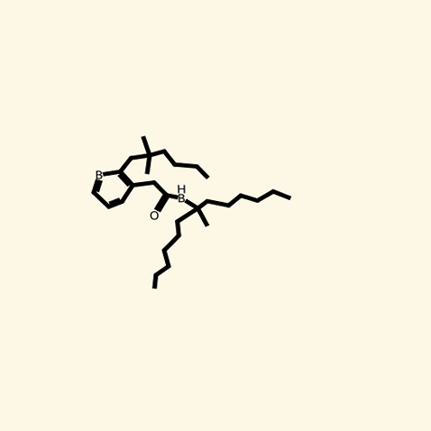 CCCCCCC(C)(BC(=O)Cc1cccbc1CC(C)(C)CCCC)CCCCCC